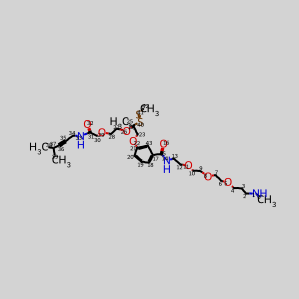 CNCCCOCCOCCOCCNC(=O)c1cccc(OC[C@@](C)(OCCOCC(=O)NCC#CC(C)C)SSC)c1